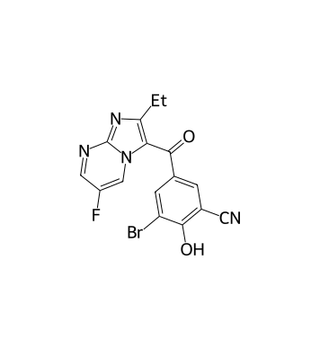 CCc1nc2ncc(F)cn2c1C(=O)c1cc(Br)c(O)c(C#N)c1